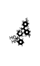 OC1Nc2ccccc2N1C1CCN(CC(c2ccc(F)cc2)c2ccc(F)cc2)CC1